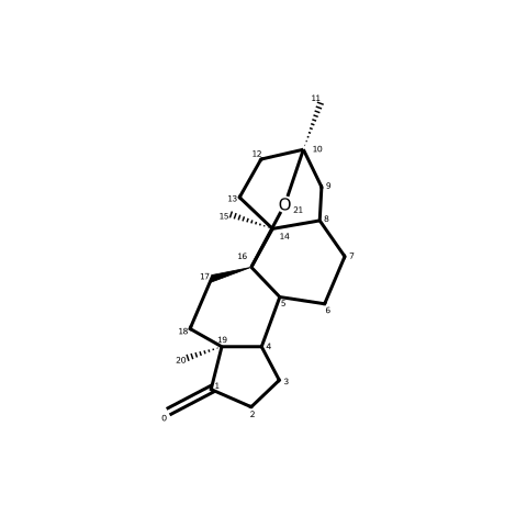 C=C1CCC2C3CCC4C[C@]5(C)CC[C@]4(C)[C@]3(CC[C@]12C)O5